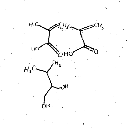 C=C(C)C(=O)O.C=C(C)C(=O)O.CC(C)C(O)CO